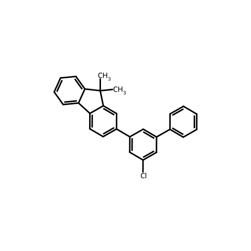 CC1(C)c2ccccc2-c2ccc(-c3cc(Cl)cc(-c4ccccc4)c3)cc21